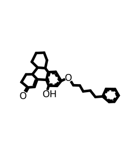 O=C1C=C2c3c(O)cc(OCCCCCc4ccccc4)cc3C3CCCCC3C2CC1